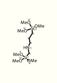 CO[Si](CCCNC[Si](OC)(OC)OC)(OC)OC